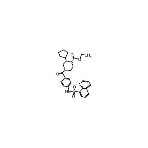 CCOC(=O)N1CCN(C(=O)c2ccc(NS(=O)(=O)c3cccc4cccnc34)cc2)CC1C1CCCC1